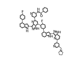 O=C(Nc1cncc(-c2cc(-c3cc(-c4cccc5[nH]c(-c6n[nH]c7ccc(-c8cncc(CN9CCCC9)c8)nc67)cc45)ccc3F)c3[nH]nc(-c4cc5c(-c6ccc(F)cc6)cccc5[nH]4)c3n2)c1)c1ccccc1